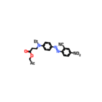 CCN(CCC(=O)OCC(C)=O)c1ccc(N=Nc2ccc([N+](=O)[O-])cc2C#N)cc1